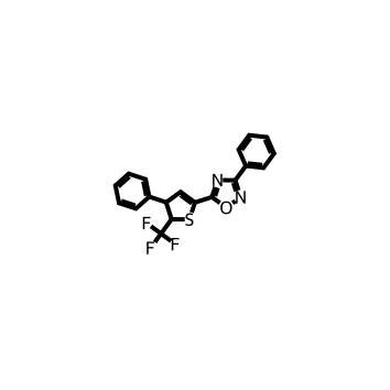 FC(F)(F)C1SC(c2nc(-c3ccccc3)no2)=CC1c1ccccc1